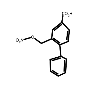 O=C(O)c1ccc(-c2ccccc2)c(CO[N+](=O)[O-])c1